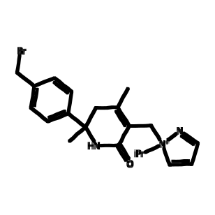 CC1=C(C[N+]2(C(C)C)C=CC=N2)C(=O)NC(C)(c2ccc(CBr)cc2)C1